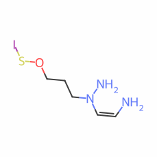 N/C=C\N(N)CCCOSI